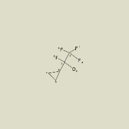 [O]C(F)(C1CC1)C(F)(F)F